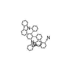 N#Cc1cccc(C#N)c1-c1cccc(-c2c(-c3ccccc3-n3c4ccccc4c4ccccc43)cccc2-n2c3ccccc3c3ccccc32)c1